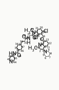 Cc1cc(N2CCCCC2)c2cccc(OCc3c(Cl)ccc(N(C)C(=O)CNC(=O)/C=C/c4ccc(C(=O)Nc5ccncc5)cc4)c3Cl)c2n1